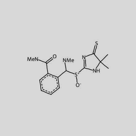 CNC(=O)c1ccccc1C(NC)[S+]([O-])C1=NC(=S)C(C)(C)N1